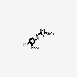 CSc1nnc(/N=N/c2ccc(O)c(NC(C)=O)c2)s1